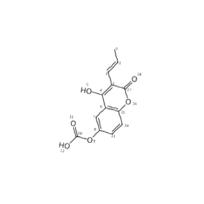 CC=Cc1c(O)c2cc(OC(=O)O)ccc2oc1=O